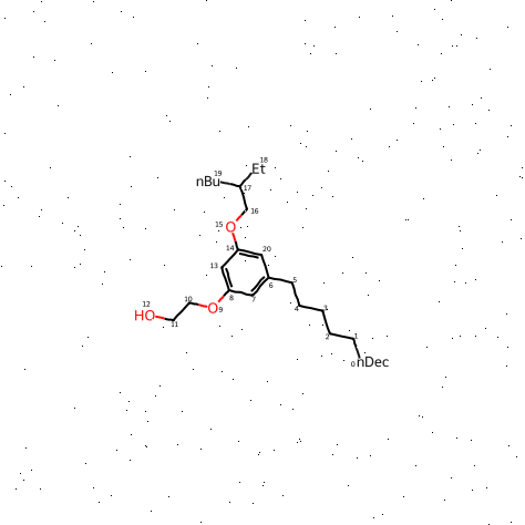 CCCCCCCCCCCCCCCc1cc(OCCO)cc(OCC(CC)CCCC)c1